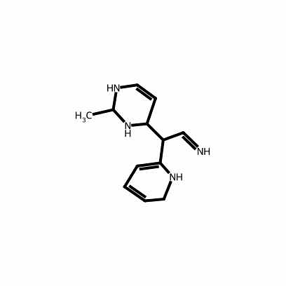 CC1NC=CC(C(C=N)C2=CC=CCN2)N1